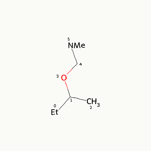 CCC(C)OCNC